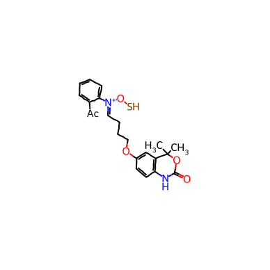 CC(=O)c1ccccc1[N+](=CCCCOc1ccc2c(c1)C(C)(C)OC(=O)N2)OS